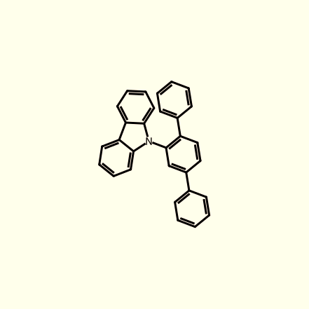 c1ccc(-c2ccc(-c3ccccc3)c(-n3c4ccccc4c4ccccc43)c2)cc1